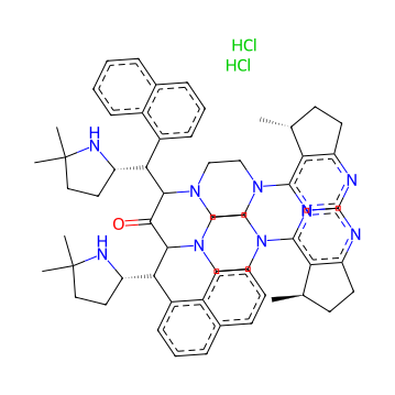 C[C@@H]1CCc2ncnc(N3CCN(C(C(=O)C(C(c4cccc5ccccc45)[C@@H]4CCC(C)(C)N4)N4CCN(c5ncnc6c5[C@H](C)CC6)CC4)C(c4cccc5ccccc45)[C@@H]4CCC(C)(C)N4)CC3)c21.Cl.Cl